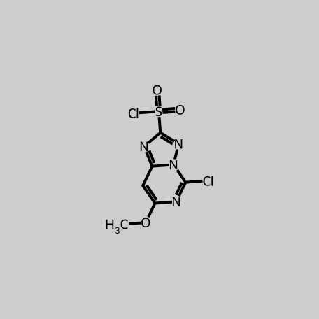 COc1cc2nc(S(=O)(=O)Cl)nn2c(Cl)n1